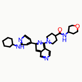 O=C(NC1CCOCC1)C1CCN(c2nc(-c3ccnc(NC4CCCCC4)c3)cc3cnccc23)CC1